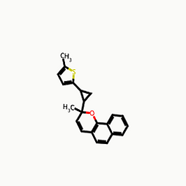 Cc1ccc(C2CC2C2(C)C=Cc3ccc4ccccc4c3O2)s1